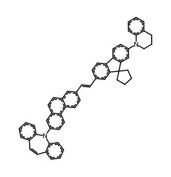 C1=Cc2ccccc2N(c2ccc3c(ccc4cc(/C=C/c5ccc6c(c5)C5(CCCC5)c5cc(N7CCCc8ccccc87)ccc5-6)ccc43)c2)c2ccccc21